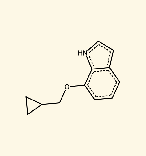 c1cc(OCC2CC2)c2[nH]ccc2c1